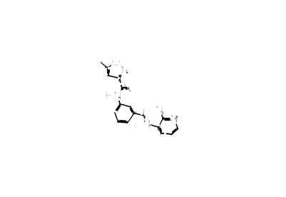 Cc1cc(C(=O)Nc2cccc(CNc3cccnc3N)c2)no1